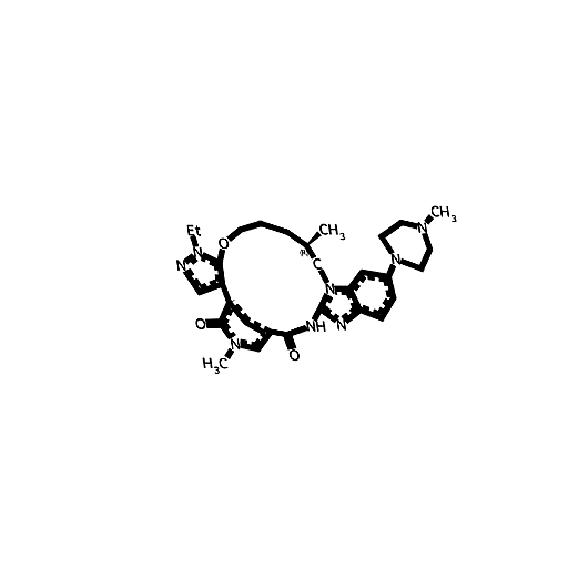 CCn1ncc2c1OCCC[C@@H](C)Cn1c(nc3ccc(N4CCN(C)CC4)cc31)NC(=O)c1cc-2c(=O)n(C)c1